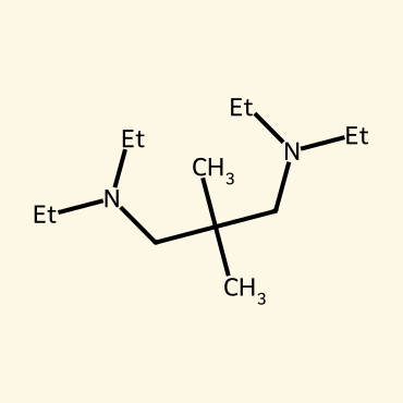 CCN(CC)CC(C)(C)CN(CC)CC